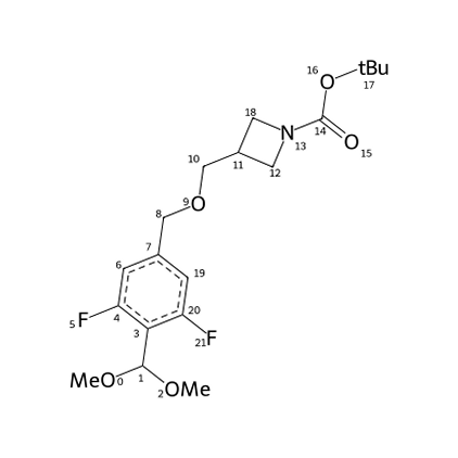 COC(OC)c1c(F)cc(COCC2CN(C(=O)OC(C)(C)C)C2)cc1F